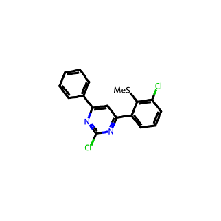 CSc1c(Cl)cccc1-c1cc(-c2ccccc2)nc(Cl)n1